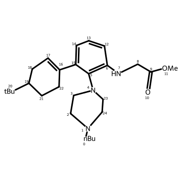 CCCCN1CCN(c2c(NCC(=O)OC)cccc2C2=CCC(C(C)(C)C)CC2)CC1